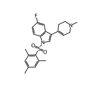 Cc1cc(C)c(S(=O)(=O)n2cc(C3=CCN(C)CC3)c3cc(F)ccc32)c(C)c1